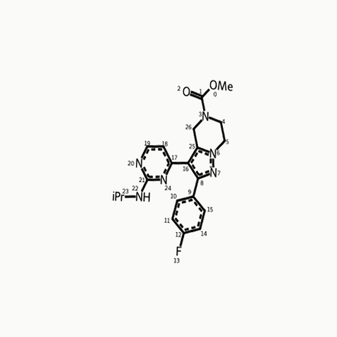 COC(=O)N1CCn2nc(-c3ccc(F)cc3)c(-c3ccnc(NC(C)C)n3)c2C1